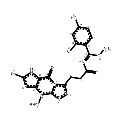 C=C(CCc1nnc2n(CCCCC)c3nc(Br)[nH]c3c(=O)n12)/N=C(\ON)c1ccc(O)cc1Cl